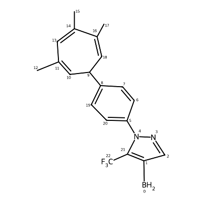 Bc1cnn(-c2ccc(C3C=C(C)C=C(C)C(C)=C3)cc2)c1C(F)(F)F